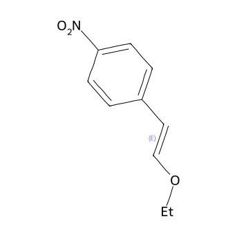 CCO/C=C/c1ccc([N+](=O)[O-])cc1